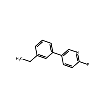 CCc1cccc(-c2ccc(F)nc2)c1